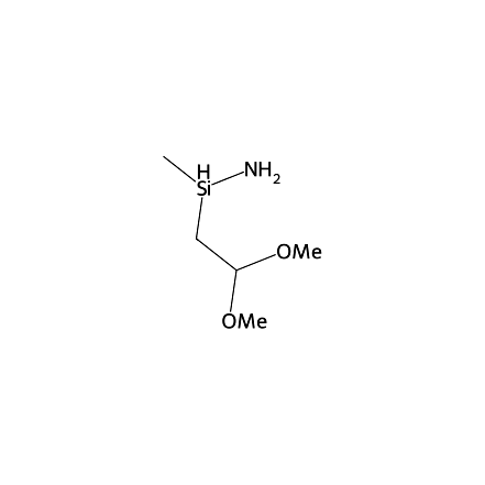 COC(C[SiH](C)N)OC